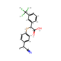 CC(C#N)c1ccc(SC(C(=O)O)c2cccc(C(F)(F)F)c2)cc1